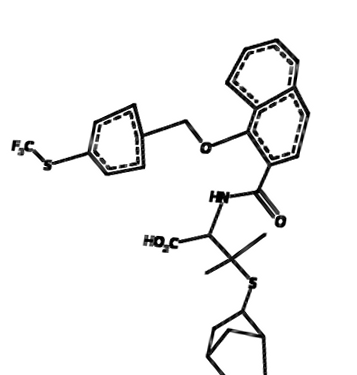 CC(C)(SC1CC2CCC1C2)C(NC(=O)c1ccc2ccccc2c1OCc1ccc(SC(F)(F)F)cc1)C(=O)O